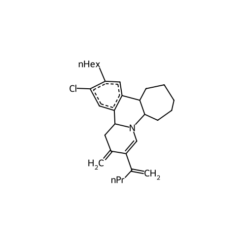 C=C(CCC)C1=CN2C(CC1=C)c1cc(Cl)c(CCCCCC)cc1C1CCCCCC12